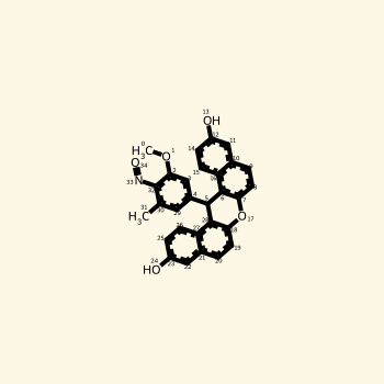 COc1cc(C2c3c(ccc4cc(O)ccc34)Oc3ccc4cc(O)ccc4c32)cc(C)c1N=O